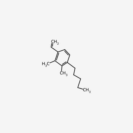 C=Cc1ccc(CCCCC)c(C)c1C